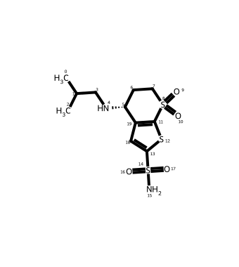 CC(C)CN[C@@H]1CCS(=O)(=O)c2sc(S(N)(=O)=O)cc21